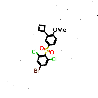 COc1ccc(S(=O)(=O)c2c(Cl)cc(Br)cc2Cl)cc1C1CCC1